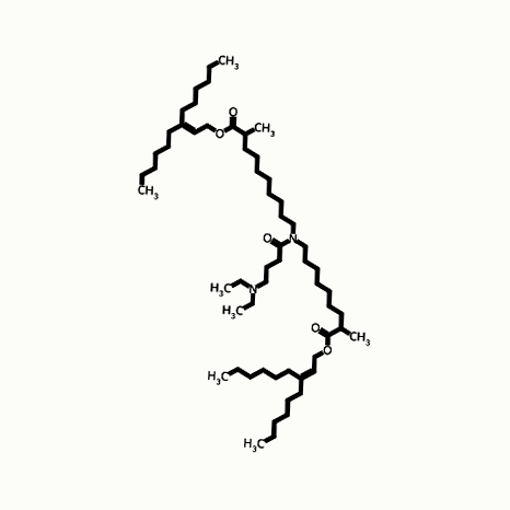 CCCCCCC(=CCOC(=O)C(C)CCCCCCCCN(CCCCCCCC(C)C(=O)OCC=C(CCCCCC)CCCCCC)C(=O)CCCN(CC)CC)CCCCCC